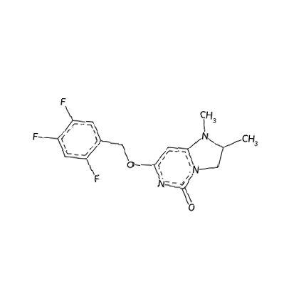 CC1Cn2c(cc(OCc3cc(F)c(F)cc3F)nc2=O)N1C